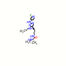 CCCNc1nc(Nc2ccnc(F)c2)ncc1C#CCCCNC(=O)[C@H](CC)NC